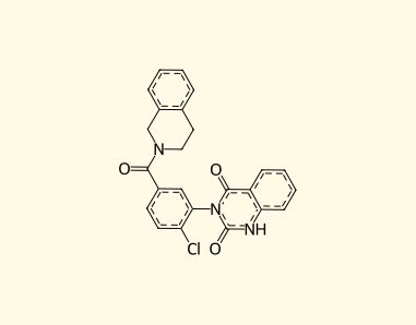 O=C(c1ccc(Cl)c(-n2c(=O)[nH]c3ccccc3c2=O)c1)N1CCc2ccccc2C1